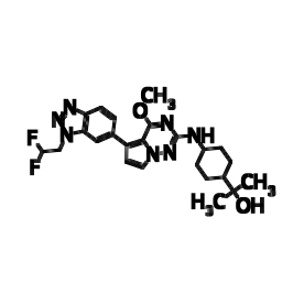 COc1nc(NC2CCC(C(C)(C)O)CC2)nn2ccc(-c3ccc4nnn(CC(F)F)c4c3)c12